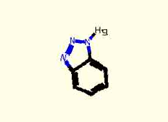 [Hg][n]1nnc2ccccc21